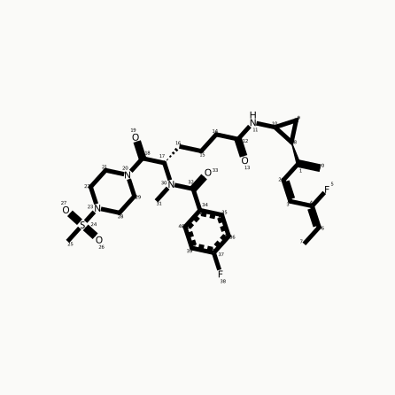 C=C(/C=C\C(F)=C/C)[C@@H]1CC1NC(=O)CCC[C@@H](C(=O)N1CCN(S(C)(=O)=O)CC1)N(C)C(=O)c1ccc(F)cc1